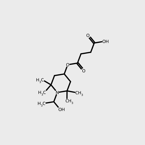 CC(O)N1C(C)(C)CC(OC(=O)CCC(=O)O)CC1(C)C